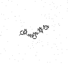 Cc1ccc2ncc(CNCc3cccc(NCc4nnc(-c5ccncn5)n4C)c3)n2c1